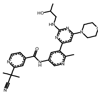 Cc1ncc(NC(=O)c2ccnc(C(C)(C)C#N)c2)cc1-c1cc(N2CCOCC2)nc(NCC(C)O)n1